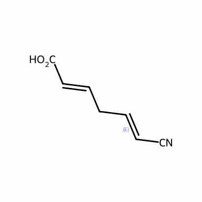 N#C/C=C/CC=CC(=O)O